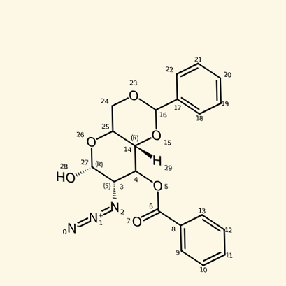 [N-]=[N+]=N[C@H]1C(OC(=O)c2ccccc2)[C@H]2OC(c3ccccc3)OCC2O[C@H]1O